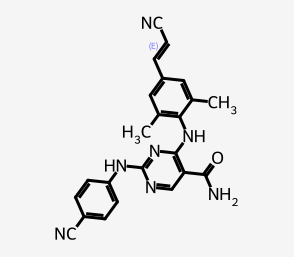 Cc1cc(/C=C/C#N)cc(C)c1Nc1nc(Nc2ccc(C#N)cc2)ncc1C(N)=O